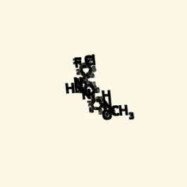 CC(=O)Nc1cccc(-c2ccc3c(-c4ccc(Cl)c(F)c4)n[nH]c3n2)c1